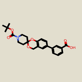 CC(C)(C)OC(=O)N1CCC2(CC1)OCc1cc(-c3cccc(C(=O)O)c3)ccc1O2